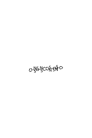 c1ccc(-c2nc3sc(-c4nc5cc6cc7sc(-c8cc9sc(-c%10ccccc%10)nc9s8)nc7cc6cc5s4)cc3s2)cc1